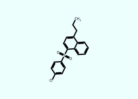 CCCc1ccc(S(=O)(=O)c2ccc(Cl)cc2)c2ccccc12